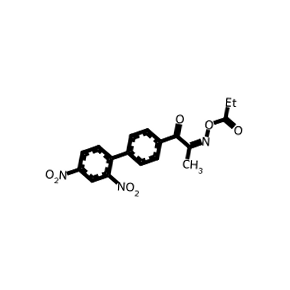 CCC(=O)O/N=C(/C)C(=O)c1ccc(-c2ccc([N+](=O)[O-])cc2[N+](=O)[O-])cc1